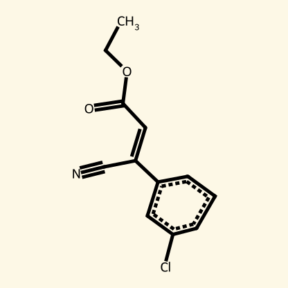 CCOC(=O)C=C(C#N)c1cccc(Cl)c1